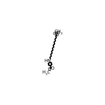 CCOC(=O)c1ccc(NCCCCCCCCCCCCCCCCOS(C)(=O)=O)cc1